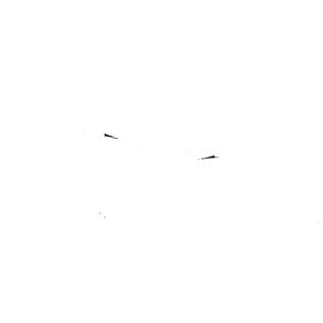 COc1ccccc1[C@]1(O)C[C@@H](C(=O)C(CC#N)c2ccccc2F)C[C@H]2CNC[C@H]21